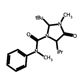 CC(C)C1C(=O)N(C)C(C(C)(C)C)N1C(=O)N(C)c1ccccc1